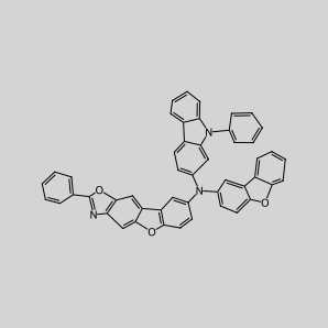 c1ccc(-c2nc3cc4oc5ccc(N(c6ccc7oc8ccccc8c7c6)c6ccc7c8ccccc8n(-c8ccccc8)c7c6)cc5c4cc3o2)cc1